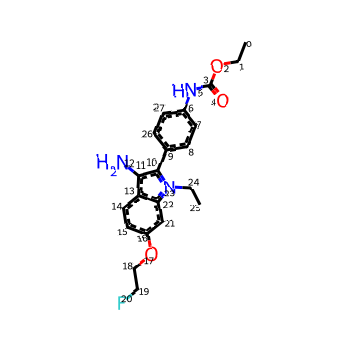 CCOC(=O)Nc1ccc(-c2c(N)c3ccc(OCCF)cc3n2CC)cc1